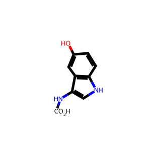 O=C(O)Nc1c[nH]c2ccc(O)cc12